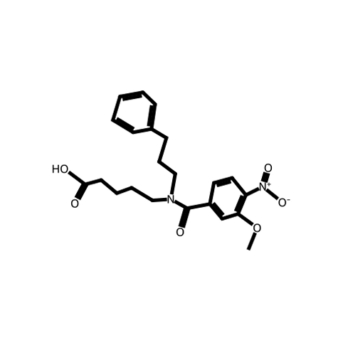 COc1cc(C(=O)N(CCCCC(=O)O)CCCc2ccccc2)ccc1[N+](=O)[O-]